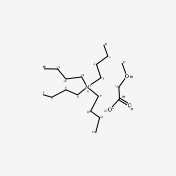 CCCC[N+](CCCC)(CCCC)CCCC.COCC(=O)[O-]